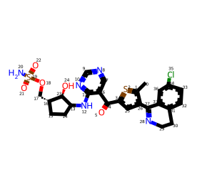 Cc1sc(C(=O)c2cncnc2NC2CC[C@H](COS(N)(=O)=O)[C@H]2O)cc1C1=NCCc2ccc(Cl)cc21